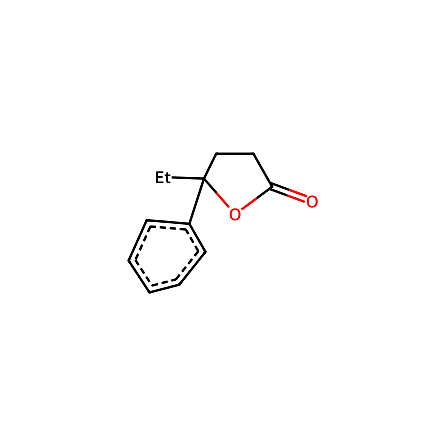 CCC1(c2ccccc2)CCC(=O)O1